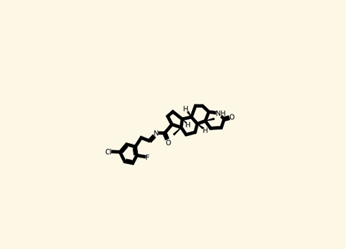 C[C@]12CCC(=O)NC1CC[C@@H]1[C@H]2CC[C@]2(C)C(C(=O)N=CCc3cc(Cl)ccc3F)CC[C@@H]12